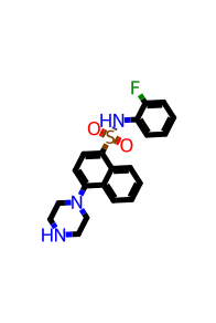 O=S(=O)(Nc1ccccc1F)c1ccc(N2CCNCC2)c2ccccc12